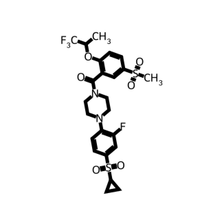 CC(Oc1ccc(S(C)(=O)=O)cc1C(=O)N1CCN(c2ccc(S(=O)(=O)C3CC3)cc2F)CC1)C(F)(F)F